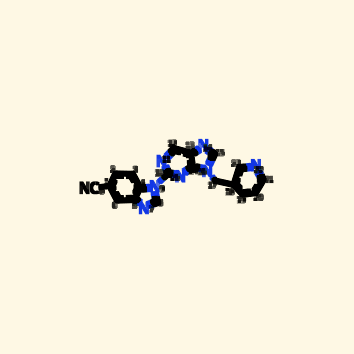 N#Cc1ccc2c(c1)ncn2-c1ncc2ncn(Cc3cccnc3)c2n1